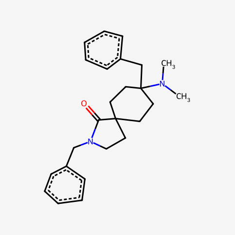 CN(C)C1(Cc2ccccc2)CCC2(CCN(Cc3ccccc3)C2=O)CC1